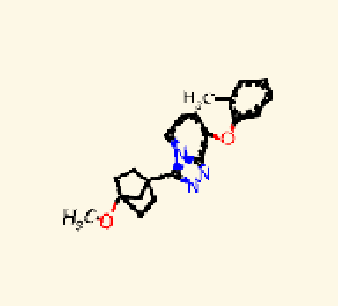 COC12CCC(c3nnc4c(Oc5ccccc5C)cccn34)(CC1)C2